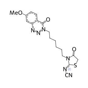 COc1ccc2c(=O)n(CCCCCCN3C(=O)CS/C3=N\C#N)nnc2c1